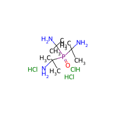 CC(C)(N)P(=O)(C(C)(C)N)C(C)(C)N.Cl.Cl.Cl